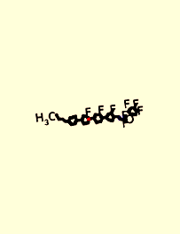 CCCCCc1ccc(-c2ccc(-c3ccc(-c4ccc(/C=C/C(F)(F)Oc5cc(F)c(F)c(F)c5)c(F)c4)c(F)c3)c(F)c2)cc1